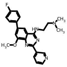 COc1cc(-c2ccc(F)cc2)cc2c(NCCN(C)C)nc(-c3cccnc3)nc12